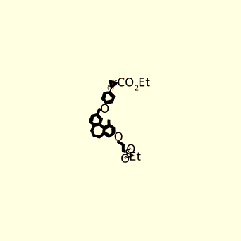 CCOC(=O)[C@H]1C[C@@H]1c1ccc(OCc2ccc3c(c2)-c2c(C)cc(OCCCS(=O)(=O)CC)cc2CCC3)cc1